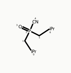 CC(C)CP(=O)(C#N)CC(C)C